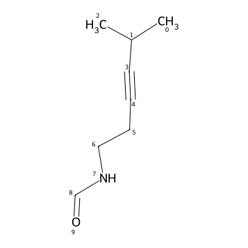 CC(C)C#CCCNC=O